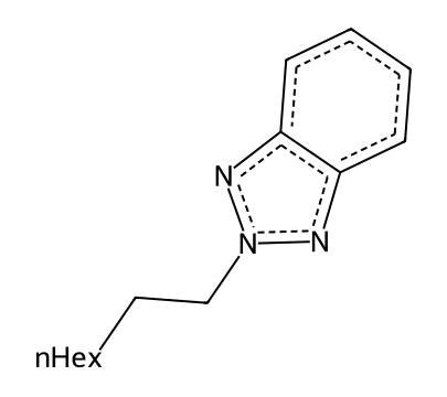 CCCCCCCCn1nc2ccccc2n1